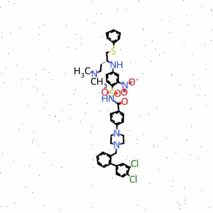 CN(C)CC[C@H](CSc1ccccc1)Nc1ccc(S(=O)(=O)NC(=O)c2ccc(N3CCN(Cc4ccccc4-c4ccc(Cl)c(Cl)c4)CC3)cc2)c([N+](=O)[O-])c1